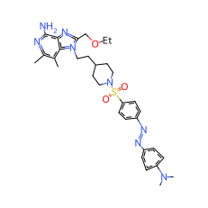 CCOCc1nc2c(N)nc(C)c(C)c2n1CCC1CCN(S(=O)(=O)c2ccc(N=Nc3ccc(N(C)C)cc3)cc2)CC1